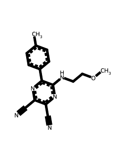 COCCNc1nc(C#N)c(C#N)nc1-c1ccc(C)cc1